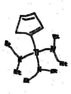 CC[N](CC)[Ti]([C]1=CC=CC1)([N](CC)CC)[N](CC)CC